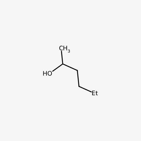 [CH2]CCCC(C)O